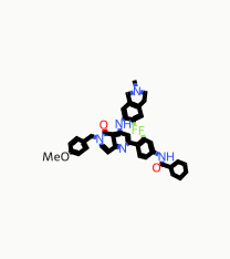 COc1ccc(Cn2ccc3nc(-c4ccc(NC(=O)C5CCCCC5)cc4F)cc(Nc4cc5c(cc4F)CCN(C)C5)c3c2=O)cc1